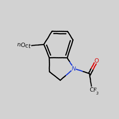 CCCCCCCCc1cccc2c1CCN2C(=O)C(F)(F)F